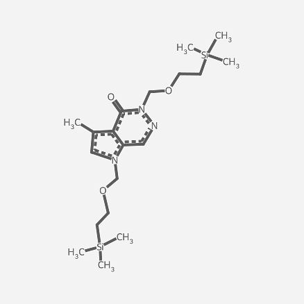 Cc1cn(COCC[Si](C)(C)C)c2cnn(COCC[Si](C)(C)C)c(=O)c12